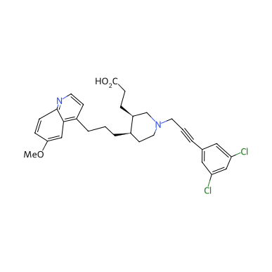 COc1ccc2nccc(CCC[C@@H]3CCN(CC#Cc4cc(Cl)cc(Cl)c4)C[C@@H]3CCC(=O)O)c2c1